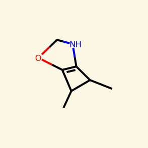 CC1C2=C(OCN2)C1C